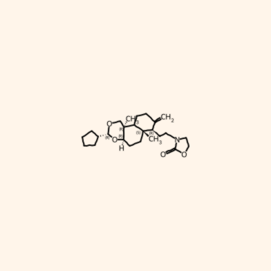 C=C1CCC2[C@]3(C)CO[C@@H](C4CCCC4)O[C@@H]3CC[C@@]2(C)[C@@H]1CCN1CCOC1=O